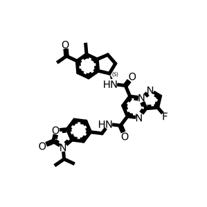 CC(=O)c1ccc2c(c1C)CC[C@@H]2NC(=O)c1cc(C(=O)NCc2ccc3oc(=O)n(C(C)C)c3c2)nc2c(F)cnn12